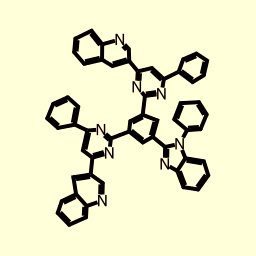 c1ccc(-c2cc(-c3cnc4ccccc4c3)nc(-c3cc(-c4nc(-c5ccccc5)cc(-c5cnc6ccccc6c5)n4)cc(-c4nc5ccccc5n4-c4ccccc4)c3)n2)cc1